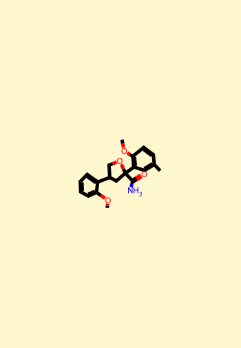 COc1ccccc1C1COC(C(N)=O)(c2cc(C)ccc2OC)C1